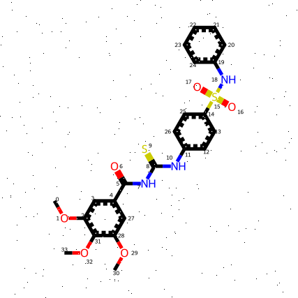 COc1cc(C(=O)NC(=S)Nc2ccc(S(=O)(=O)Nc3ccccc3)cc2)cc(OC)c1OC